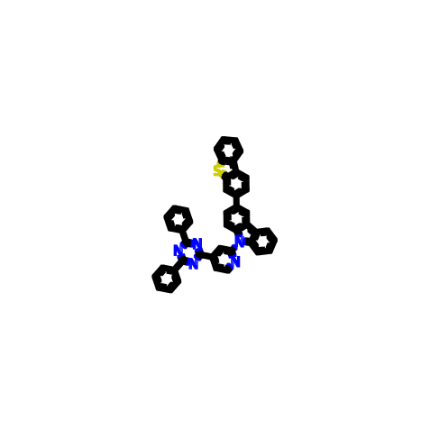 c1ccc(-c2nc(-c3ccccc3)nc(-c3ccnc(-n4c5ccccc5c5cc(-c6ccc7c(c6)sc6ccccc67)ccc54)c3)n2)cc1